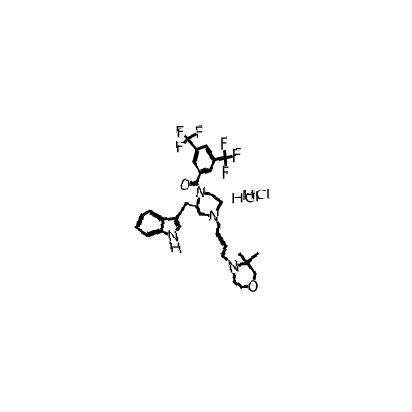 CC1(C)COCCN1CC=CCN1CCN(C(=O)c2cc(C(F)(F)F)cc(C(F)(F)F)c2)[C@H](Cc2c[nH]c3ccccc23)C1.Cl.Cl